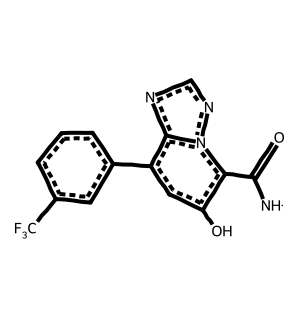 [NH]C(=O)c1c(O)cc(-c2cccc(C(F)(F)F)c2)c2ncnn12